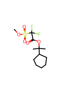 COS(=O)(=O)C(F)(F)C(=O)OC(C)(C)C1CCCCC1